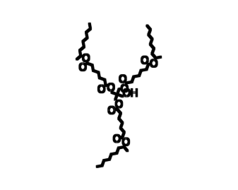 CCCCCCCC(C)OC(=O)CCCCCC(=O)OCC(CO)(COC(=O)CCCCCC(=O)OC(C)CCCCCCC)COC(=O)CCCCCC(=O)OC(C)CCCCCCC